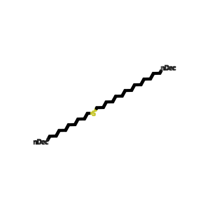 CCCCCCCCCCCCCCCCCCCCCCCCSCCCCCCCCCCCCCCCCCCC